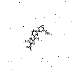 NC[C@H]1CN(c2nccc(Nc3cc(C4CC4)[nH]n3)n2)CCO1